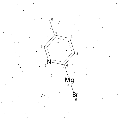 Cc1cc[c]([Mg][Br])nc1